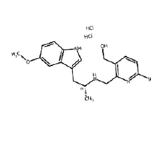 COc1ccc2[nH]cc(C[C@@H](C)NCc3nc(N)ccc3CO)c2c1.Cl.Cl